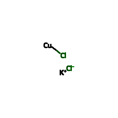 [Cl-].[Cl][Cu].[K+]